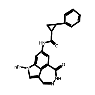 CCCn1cc2c3c(cc(NC(=O)C4CC4c4ccccc4)cc31)C(=O)NN=C2